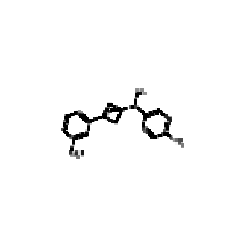 CC(=O)OC(c1ccc(C(F)(F)F)nc1)C12CC(c3cccc(C(=O)O)c3)(C1)C2